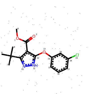 COC(=O)c1c(C(C)(C)C)n[nH]c1Oc1cccc(Cl)c1